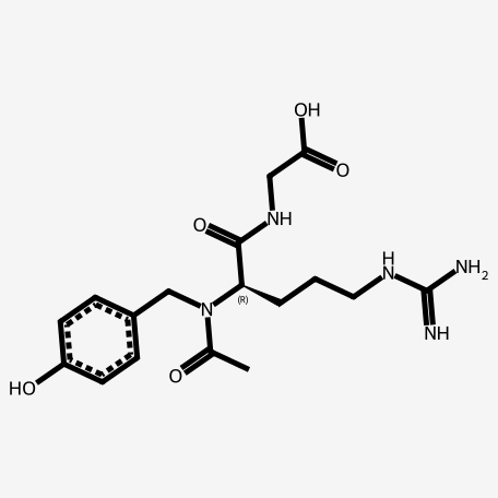 CC(=O)N(Cc1ccc(O)cc1)[C@H](CCCNC(=N)N)C(=O)NCC(=O)O